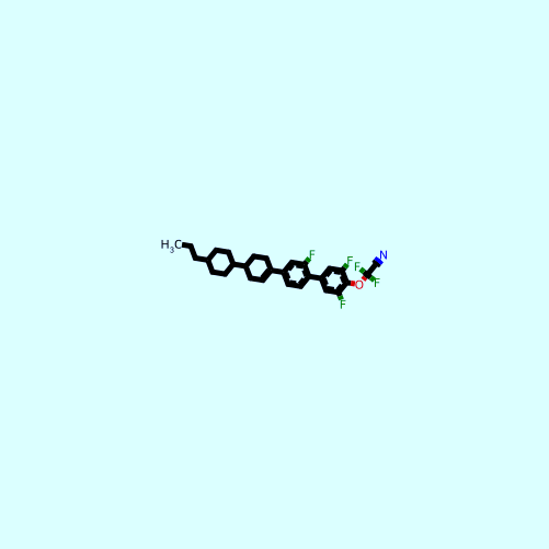 CCCC1CCC(C2CC=C(c3ccc(-c4cc(F)c(OC(F)(F)C#N)c(F)c4)c(F)c3)CC2)CC1